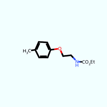 CCOC(=O)NCCOc1ccc(C)cc1